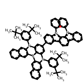 CC(C)(C)c1cc(N2c3cc4ccccc4cc3B3c4cc5ccccc5cc4N(c4cc(C(C)(C)C)cc(C(C)(C)C)c4)c4cc(-c5ccc6c(c5)c5ccc7c8ccccc8n(-c8ccccc8)c7c5n6-c5ccccc5)cc2c43)cc(C(C)(C)C)c1